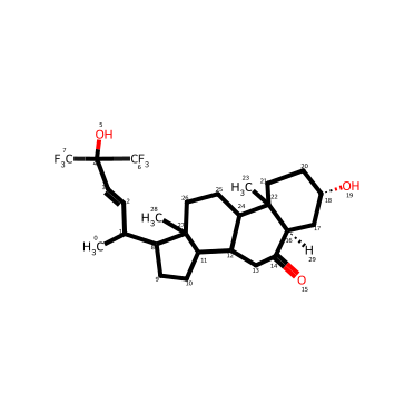 CC(/C=C/C(O)(C(F)(F)F)C(F)(F)F)C1CCC2C3CC(=O)[C@@H]4C[C@@H](O)CCC4(C)C3CCC12C